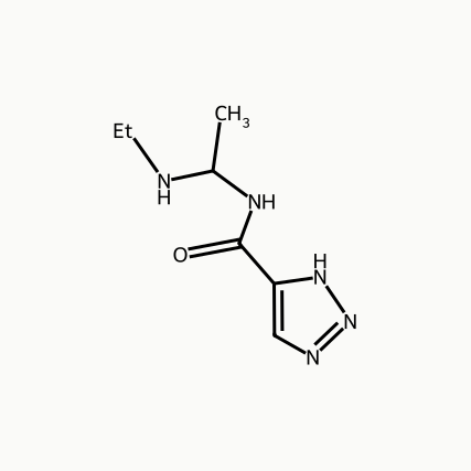 CCNC(C)NC(=O)c1cnn[nH]1